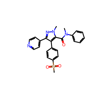 CN(C(=O)c1c(-c2ccc(S(C)(=O)=O)cc2)c(-c2ccncc2)nn1C)c1ccccc1